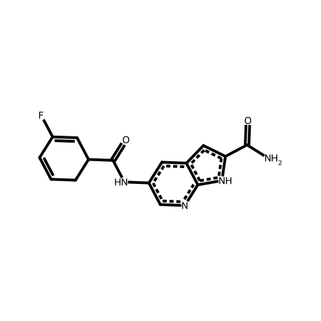 NC(=O)c1cc2cc(NC(=O)C3C=C(F)C=CC3)cnc2[nH]1